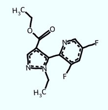 CCOC(=O)c1cnn(CC)c1-c1ncc(F)cc1F